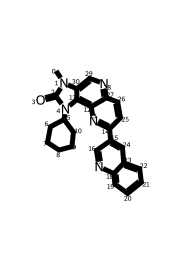 Cn1c(=O)n(C2CCCCC2)c2c3nc(-c4cnc5ccccc5c4)ccc3ncc21